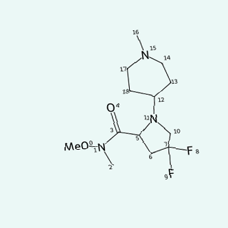 CON(C)C(=O)C1CC(F)(F)CN1C1CCN(C)CC1